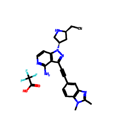 Cc1nc2cc(C#Cc3nn([C@@H]4CN[C@@H](CC#N)C4)c4ccnc(N)c34)ccc2n1C.O=C(O)C(F)(F)F